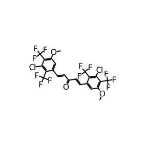 COc1cc(/C=C/C(=O)/C=C/c2cc(OC)c(C(F)(F)F)c(Cl)c2C(F)(F)F)c(C(F)(F)F)c(Cl)c1C(F)(F)F